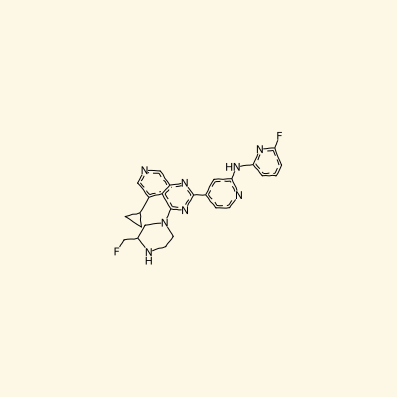 FCC1CN(c2nc(-c3ccnc(Nc4cccc(F)n4)c3)nc3cncc(C4CC4)c23)CCN1